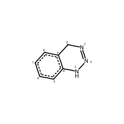 [CH]1N=NNc2ccccc21